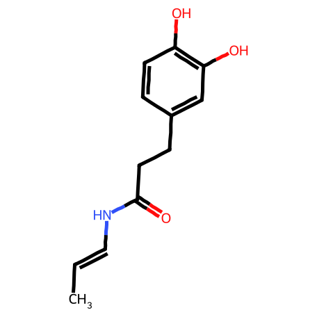 CC=CNC(=O)CCc1ccc(O)c(O)c1